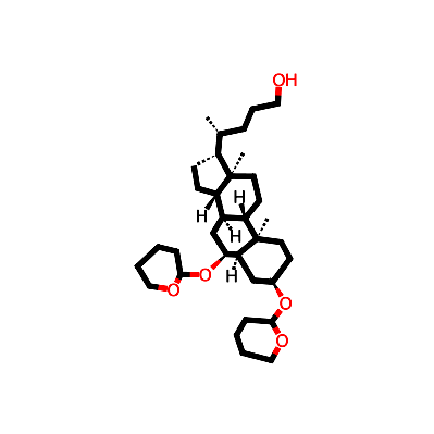 C[C@H](CCCO)[C@H]1CC[C@H]2[C@@H]3C[C@H](OC4CCCCO4)[C@@H]4C[C@H](OC5CCCCO5)CC[C@]4(C)[C@H]3CC[C@]12C